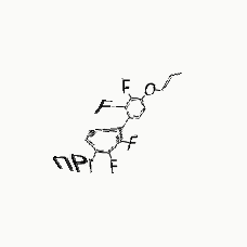 C/C=C/Oc1ccc(-c2ccc(CCC)c(F)c2F)c(F)c1F